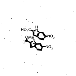 COC(=O)c1cc2ccc([N+](=O)[O-])cc2[nH]1.O=C(O)c1cc2ccc([N+](=O)[O-])cc2[nH]1